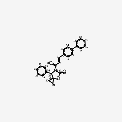 O=C(C=Cc1ccc(-c2ccccc2)cc1)N1C(=O)OC2(CC2)C1c1ccccc1